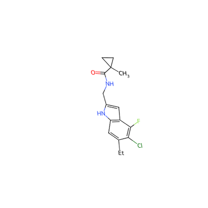 CCc1cc2[nH]c(CNC(=O)C3(C)CC3)cc2c(F)c1Cl